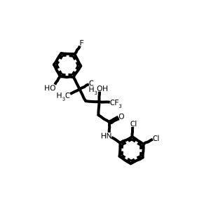 CC(C)(CC(O)(CC(=O)Nc1cccc(Cl)c1Cl)C(F)(F)F)c1cc(F)ccc1O